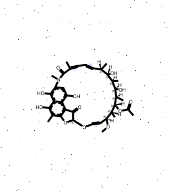 CO[C@H]1/C=C/O[C@@]2(C)Oc3c(C)c(O)c4c(O)c(cc(O)c4c3C2=O)N(C)C(=O)/C(C)=C\C=C\[C@H](C)[C@H](O)[C@@H](C)[C@@H](O)[C@@H](C)[C@H](OC(C)=O)[C@@H]1C